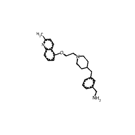 Cc1ccc2c(OCCN3CCC(Cc4cccc(CN)c4)CC3)cccc2n1